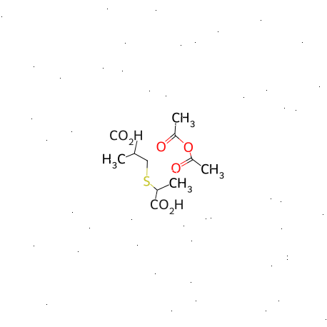 CC(=O)OC(C)=O.CC(CSC(C)C(=O)O)C(=O)O